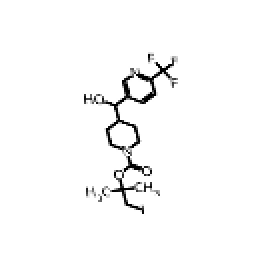 CC(C)(CI)OC(=O)N1CCC(C(O)c2ccc(C(F)(F)F)nc2)CC1